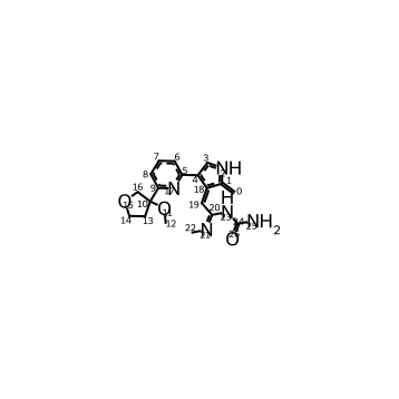 C=c1[nH]cc(-c2cccc(C3(OC)CCOC3)n2)/c1=C/C(=N\C)NC(N)=O